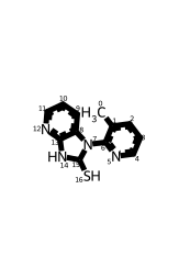 Cc1cccnc1N1c2cccnc2NC1S